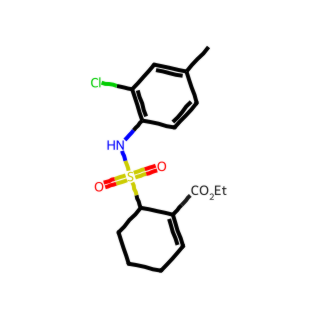 CCOC(=O)C1=CCCCC1S(=O)(=O)Nc1ccc(C)cc1Cl